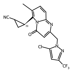 Cc1ccc2nc(Cn3nc(C(F)(F)F)cc3Cl)cc(=O)n2c1[C@H]1CC1C#N